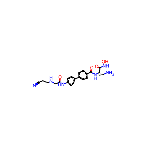 N#CCCNCC(=O)Nc1ccc(-c2ccc(C(=O)N[C@@H](CN)C(=O)NO)cc2)cc1